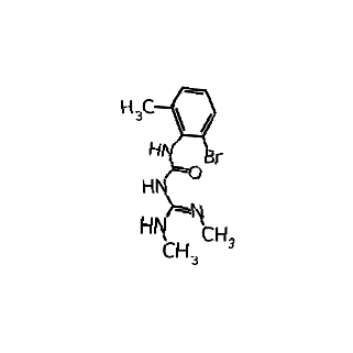 CN=C(NC)NC(=O)Nc1c(C)cccc1Br